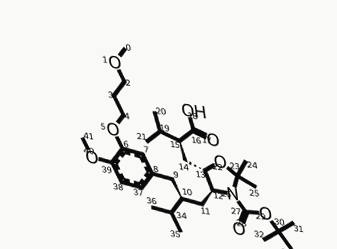 COCCCOc1cc(C[C@@H](C[C@H]2[C@H](C[C@H](C(=O)O)C(C)C)OC(C)(C)N2C(=O)OC(C)(C)C)C(C)C)ccc1OC